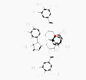 O=C(O[C@@H]1Cc2c(O)cc(O)cc2O[C@@H]1C1=CC(=O)C2(O)Oc3c(O)c(O)cc([C@H]4Oc5cc(O)cc(O)c5C[C@H]4OC(=O)c4cc(O)c(O)c(O)c4)c3C12)c1cc(O)c(O)c(O)c1